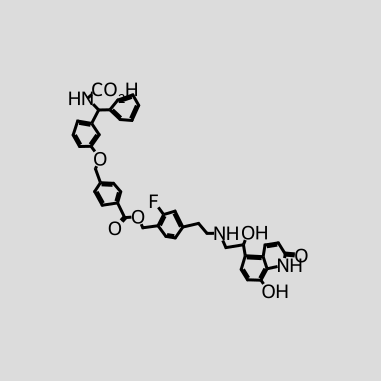 O=C(O)NC(c1ccccc1)c1cccc(OCc2ccc(C(=O)OCc3ccc(CCNCC(O)c4ccc(O)c5[nH]c(=O)ccc45)cc3F)cc2)c1